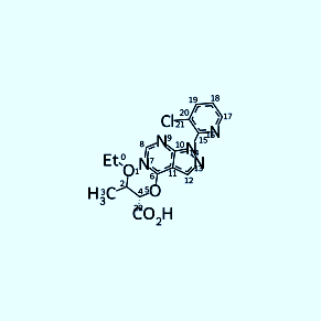 CCOC(C)[C@H](Oc1ncnc2c1cnn2-c1ncccc1Cl)C(=O)O